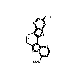 CCSc1nn2c(NC)ccnc2c1-c1nc2cc(C(F)(F)F)cnc2n1C